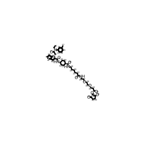 CCN(C(=O)Cn1c(C(=O)N[C@H]2CC[C@H](C(=O)NCCCCCC(=O)NCCOCCOCCC(=O)ON3C(=O)CCC3=O)CC2)cc2sccc21)c1cccc(C)c1